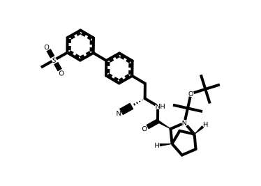 CC(C)(C)OC(C)(C)N1[C@@H]2CC[C@@H](C2)[C@H]1C(=O)N[C@H](C#N)Cc1ccc(-c2cccc(S(C)(=O)=O)c2)cc1